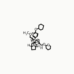 COCCOC(=O)N1[C@@H]2CC[C@H]1[C@H](C(=O)NOC1CCCCO1)N(S(=O)(=O)c1ccc(OC3CCCCC3)nc1)C2